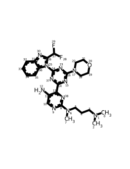 CN(C)CCCN(C)c1ncc(N)c(-c2nc(N3CCOCC3)nc(-n3c(C(F)F)nc4ccccc43)n2)n1